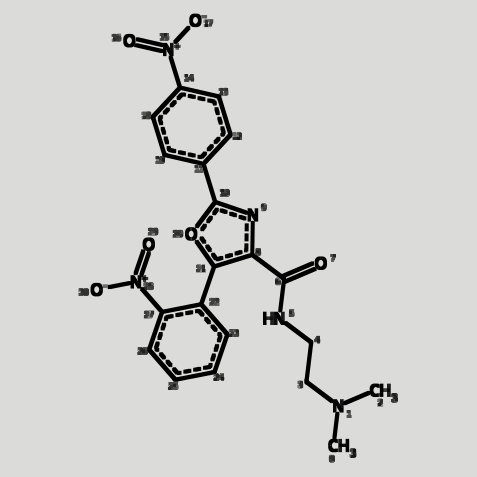 CN(C)CCNC(=O)c1nc(-c2ccc([N+](=O)[O-])cc2)oc1-c1ccccc1[N+](=O)[O-]